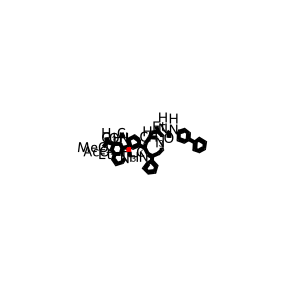 CCC1(NC(=O)Nc2ccc(-c3ccccc3)cc2)C[C@H]2CN(CCc3c([nH]c4ccccc34)[C@@](C)(c3cc4c(cc3C)N(C)[C@H]3C(O)(C(=O)OC)[C@H](OC(C)=O)[C@]5(CC)C=CCN6CC[C@]43[C@@H]65)C2)C1